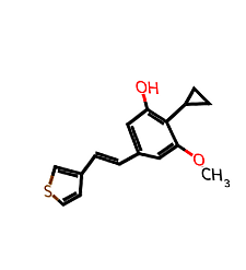 COc1cc(/C=C/c2ccsc2)cc(O)c1C1CC1